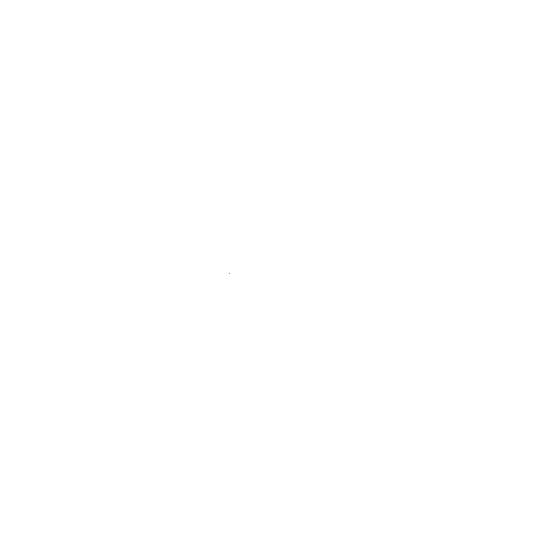 C=CC(C)(C=CC(=O)c1ccccc1)c1ccccc1